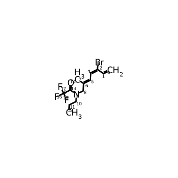 C=C/C(Br)=C\C=C(/C)CN(CCC)C(=O)C(F)(F)F